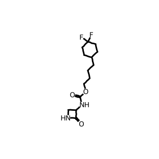 O=C(NC1CNC1=O)OCCCCC1CCC(F)(F)CC1